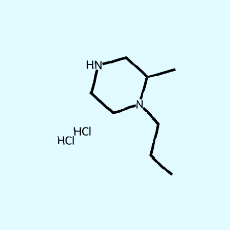 CCCN1CCNCC1C.Cl.Cl